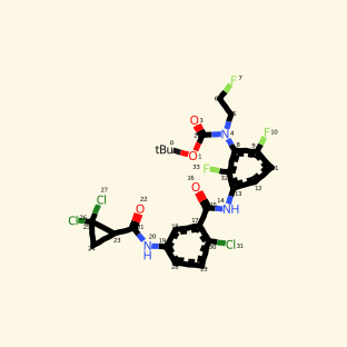 CC(C)(C)OC(=O)N(CCF)c1c(F)ccc(NC(=O)c2cc(NC(=O)C3CC3(Cl)Cl)ccc2Cl)c1F